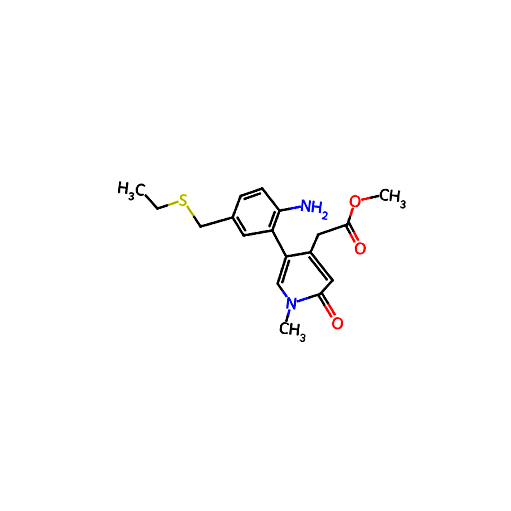 CCSCc1ccc(N)c(-c2cn(C)c(=O)cc2CC(=O)OC)c1